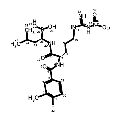 Cc1cc(C(=O)N[C@@H](CCCNC(=N)N[N+](=O)[O-])C(=O)N[C@@H](CC(C)C)B(O)O)ccc1F